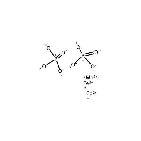 O=P([O-])([O-])[O-].O=P([O-])([O-])[O-].[Co+2].[Fe+2].[Mn+2]